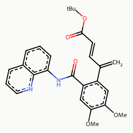 C=C(/C=C/C(=O)OC(C)(C)C)c1cc(OC)c(OC)cc1C(=O)Nc1cccc2cccnc12